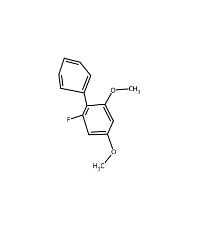 COc1cc(F)c(-c2ccccc2)c(OC)c1